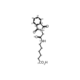 O=C(O)CCCCCNC(=O)CN1C(=O)c2ccccc2C1=O